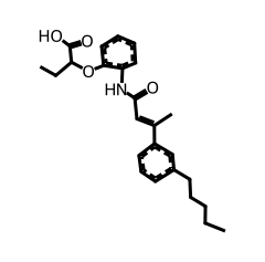 CCCCCc1cccc(C(C)=CC(=O)Nc2ccccc2OC(CC)C(=O)O)c1